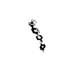 Cc1nsc(-c2ccc(N3CCC(COc4ccc(F)cc4)CC3)nn2)n1